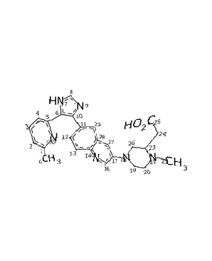 Cc1cccc(-c2[nH]cnc2-c2ccc3ncc(N4CCN(C)C(CC(=O)O)C4)cc3c2)n1